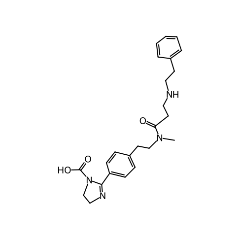 CN(CCc1ccc(C2=NCCN2C(=O)O)cc1)C(=O)CCNCCc1ccccc1